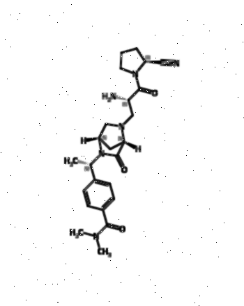 C[C@@H](c1ccc(C(=O)N(C)C)cc1)N1C(=O)[C@@H]2C[C@H]1CN2C[C@H](N)C(=O)N1CCC[C@H]1C#N